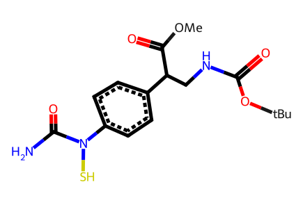 COC(=O)C(CNC(=O)OC(C)(C)C)c1ccc(N(S)C(N)=O)cc1